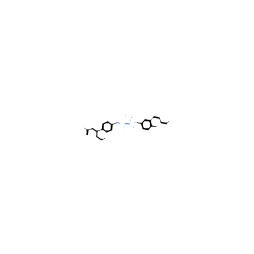 C=C(C)/C=C(\C=C/C)c1ccc(CNC2=NSC(c3ccc(C)c(/C=C\C=C/C)c3)N2)cc1